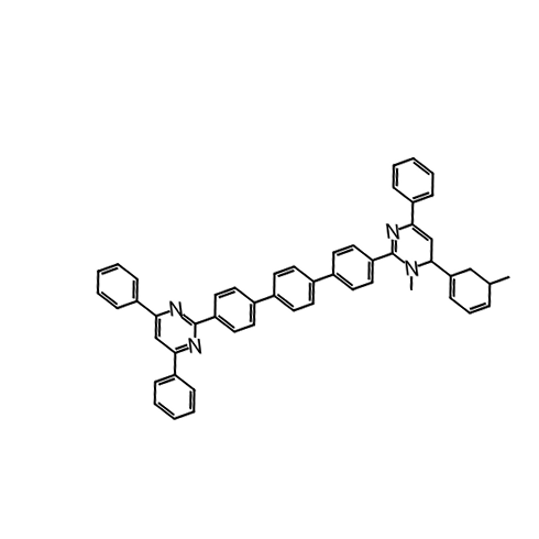 CC1C=CC=C(C2C=C(c3ccccc3)N=C(c3ccc(-c4ccc(-c5ccc(-c6nc(-c7ccccc7)cc(-c7ccccc7)n6)cc5)cc4)cc3)N2C)C1